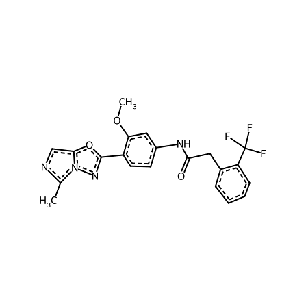 COc1cc(NC(=O)Cc2ccccc2C(F)(F)F)ccc1-c1nn2c(C)ncc2o1